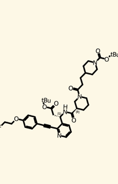 CC(C)(C)OC(=O)C[C@H](NC(=O)[C@@H]1CCCN(C(=O)CCC2CCN(C(=O)OC(C)(C)C)CC2)C1)c1cccnc1C#Cc1ccc(OCCF)cc1